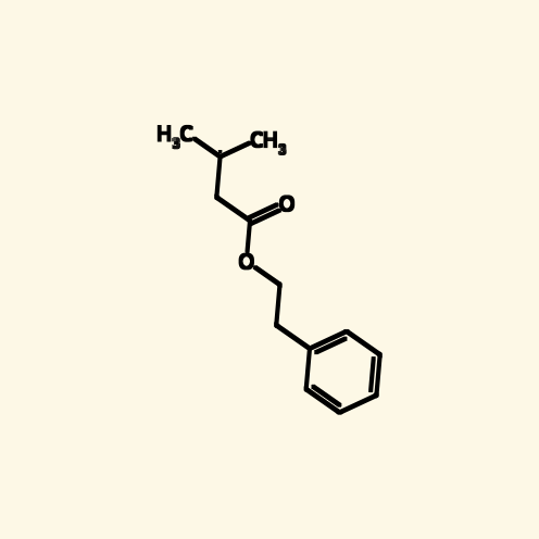 C[C](C)CC(=O)OCCc1ccccc1